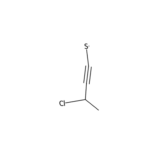 CC(Cl)C#C[S]